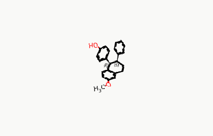 COc1ccc2c(c1)CC[C@H](c1ccccc1)[C@@H]2c1ccc(O)cc1